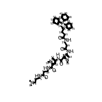 CN(C)CCCNC(=O)CCNC(=O)c1cc(NC(=O)c2nc(NC(=O)CCNC(=O)CCCC[PH](c3ccccc3)(c3ccccc3)c3ccccc3)cn2C)cn1C